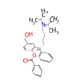 CC(C)N(CCCC[C@H](c1ccccc1)c1cc(CO)ccc1OC(=O)c1ccccc1)C(C)C